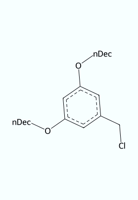 CCCCCCCCCCOc1cc(CCl)cc(OCCCCCCCCCC)c1